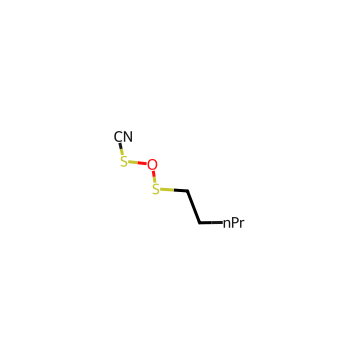 CCCCCSOSC#N